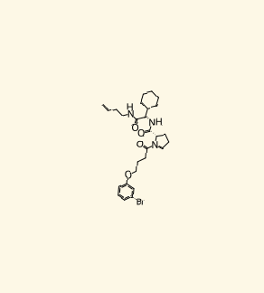 C=CCCNC(=O)[C@@H](NC(=O)[C@@H]1CCCN1C(=O)CCCOc1cccc(Br)c1)C1CCCCC1